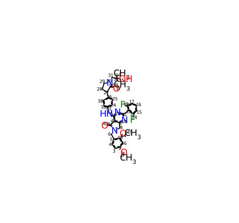 COc1ccc(CN2Cc3nc(-c4c(F)cccc4F)nc(Nc4ccc(C5CCN(CC(C)(C)O)C5=O)cc4)c3C2=O)c(OC)c1